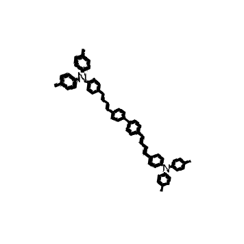 Cc1ccc(N(c2ccc(C)cc2)c2ccc(/C=C/C=C/c3ccc(-c4ccc(/C=C/C=C/c5ccc(N(c6ccc(C)cc6)c6ccc(C)cc6)cc5)cc4)cc3)cc2)cc1